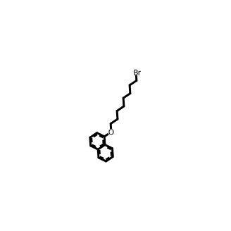 BrCCCCCCCCOc1cccc2ccccc12